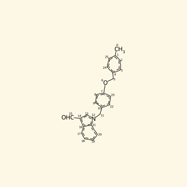 Cc1ccc(COc2ccc(Cn3cc(C=O)c4ccccc43)cc2)cc1